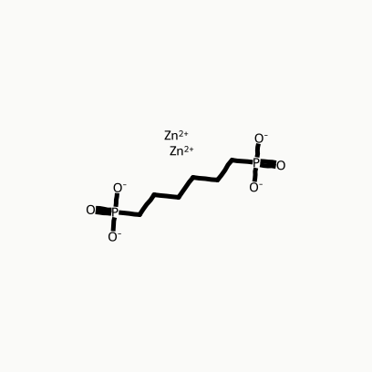 O=P([O-])([O-])CCCCCCP(=O)([O-])[O-].[Zn+2].[Zn+2]